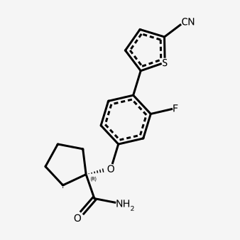 N#Cc1ccc(-c2ccc(O[C@]3(C(N)=O)[CH]CCC3)cc2F)s1